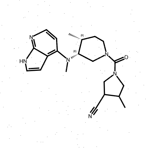 CC1CN(C(=O)N2CC[C@@H](C)[C@@H](N(C)c3ccnc4[nH]ccc34)C2)CC1C#N